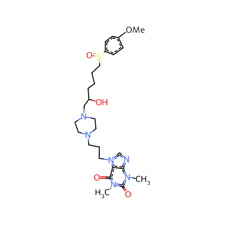 COc1ccc([S+]([O-])CCCCC(O)CN2CCN(CCCn3cnc4c3c(=O)n(C)c(=O)n4C)CC2)cc1